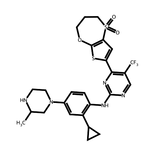 CC1CN(c2ccc(Nc3ncc(C(F)(F)F)c(-c4cc5c(s4)OCCCS5(=O)=O)n3)c(C3CC3)c2)CCN1